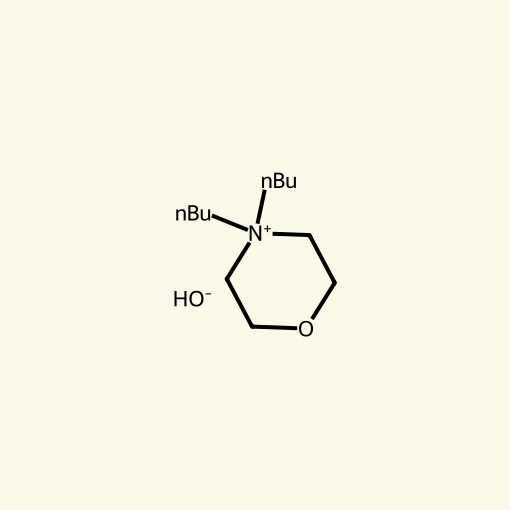 CCCC[N+]1(CCCC)CCOCC1.[OH-]